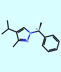 Cc1nn([C@@H](C)c2ccccc2)cc1C(C)C